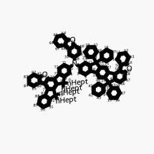 CCCCCCCC1(CCCCCCC)c2cc(N(c3ccc4c(c3)C(c3ccccc3)(c3ccccc3)c3cc5c(cc3-4)C(c3ccccc3)(c3ccccc3)c3ccc4oc6ccccc6c4c3-5)c3ccc4oc5ccccc5c4c3)ccc2-c2c1c1c(c3c2oc2ccccc23)-c2ccccc2C1(CCCCCCC)CCCCCCC